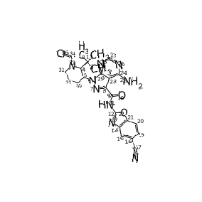 CC(C)(C)C1C(n2nc(C(=O)Nc3nc4cc(C#N)ccc4o3)c3c(N)ncnc32)CCCN1[C]=O